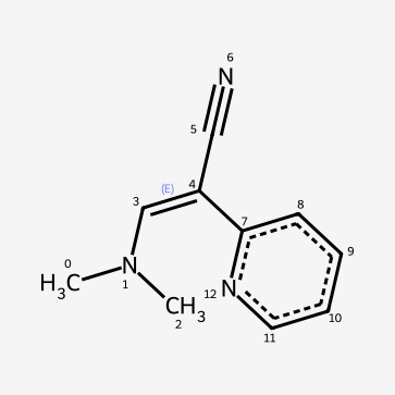 CN(C)/C=C(/C#N)c1ccccn1